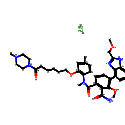 COCc1nc2c(-c3ccc(C(=O)N(C)c4ccc(C)cc4OCCCCCC(=O)N4CCN(C)CC4)c(C(N)=O)c3OC)cccc2[nH]1.Cl.Cl